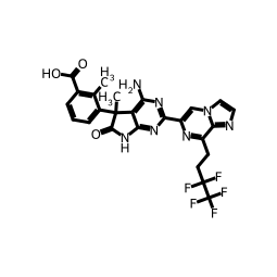 Cc1c(C(=O)O)cccc1C1(C)C(=O)Nc2nc(-c3cn4ccnc4c(CCC(F)(F)C(F)(F)F)n3)nc(N)c21